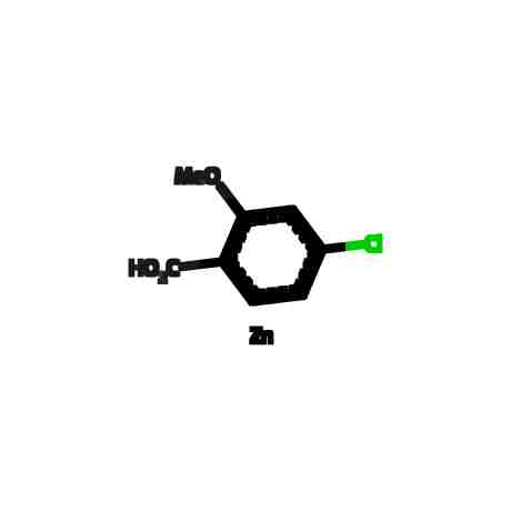 COc1cc(Cl)ccc1C(=O)O.[Zn]